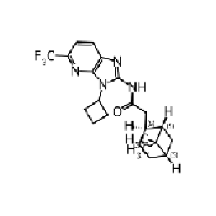 CC1(C)[C@H]2CC[C@@H](CC(=O)Nc3nc4ccc(C(F)(F)F)nc4n3C3CCC3)[C@@H]1C2